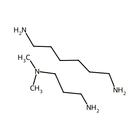 CN(C)CCCN.NCCCCCCN